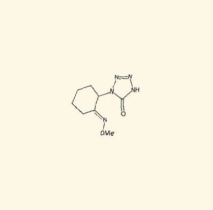 CON=C1CCCCC1n1nn[nH]c1=O